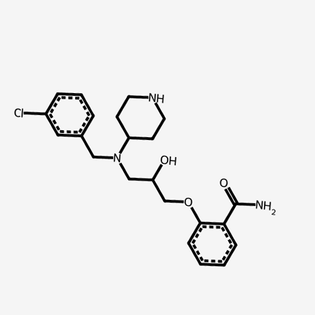 NC(=O)c1ccccc1OCC(O)CN(Cc1cccc(Cl)c1)C1CCNCC1